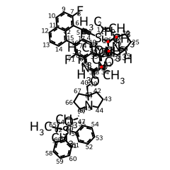 CC(C)[Si](C#Cc1c(F)ccc2cccc(-c3c(F)cc4c(N5C[C@H]6CC[C@@H](C5)N6C(=O)OC(C)(C)C)nc(OC[C@@]56CCCN5[C@H](CO[Si](c5ccccc5)(c5ccccc5)C(C)(C)C)CC6)nc4c3F)c12)(C(C)C)C(C)C